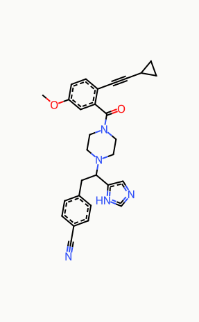 COc1ccc(C#CC2CC2)c(C(=O)N2CCN(C(Cc3ccc(C#N)cc3)c3cnc[nH]3)CC2)c1